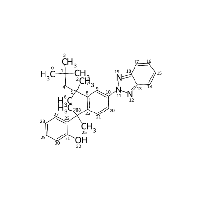 CC(C)(C)CC(C)(C)c1cc(-n2nc3ccccc3n2)ccc1C(C)(C)c1ccccc1O